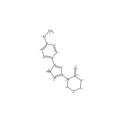 COc1ccc(-c2cc(N3CCCCC3=O)n[nH]2)cc1